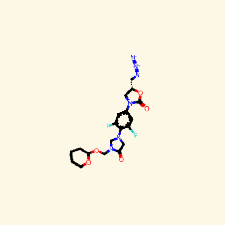 [N-]=[N+]=NC[C@H]1CN(c2cc(F)c(N3CC(=O)N(COC4CCCCO4)C3)c(F)c2)C(=O)O1